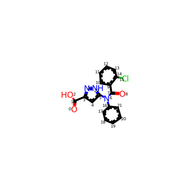 O=C(O)c1cc(N(C(=O)c2ccccc2Cl)c2ccccc2)[nH]n1